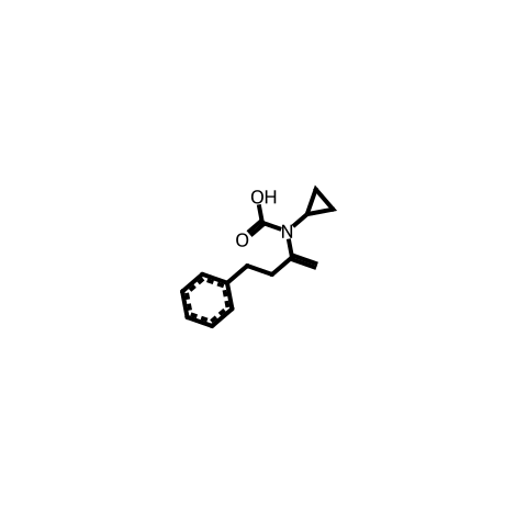 C=C(CCc1ccccc1)N(C(=O)O)C1CC1